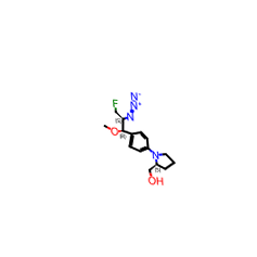 CO[C@H](c1ccc(N2CCC[C@H]2CO)cc1)[C@@H](CF)N=[N+]=[N-]